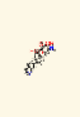 CN(C)[C@H]1C[C@@]23CC[C@]4(O2)C2CC=C(c5ccc6ccncc6c5)[C@@]2(C)CCC4(O)CC3[C@@H](O)[C@@H]1O